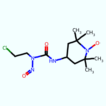 CC1(C)CC(NC(=O)N(CCCl)N=O)CC(C)(C)N1[O]